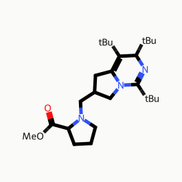 COC(=O)C1CCCN1CC1CC2=C(C(C)(C)C)C(C(C)(C)C)N=C(C(C)(C)C)N2C1